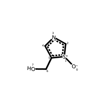 [O-][s+]1cncc1CO